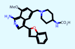 COc1cc(CN2CCC(NC(=O)O)CC2)cc2c(-c3cc4ccccc4o3)cnc(N)c12